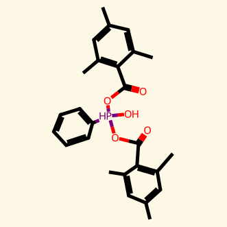 Cc1cc(C)c(C(=O)O[PH](O)(OC(=O)c2c(C)cc(C)cc2C)c2ccccc2)c(C)c1